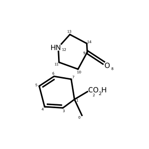 CC1(C(=O)O)C=CC=CC1.O=C1CCNCC1